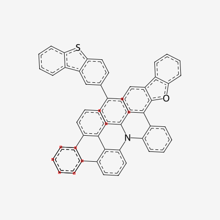 c1ccc(-c2ccccc2-c2c(-c3ccccc3)cccc2N(c2ccc(-c3ccc4sc5ccccc5c4c3)cc2)c2ccccc2-c2cccc3c2oc2ccccc23)cc1